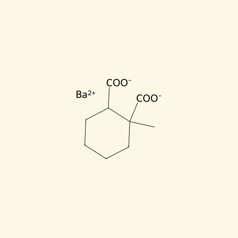 CC1(C(=O)[O-])CCCCC1C(=O)[O-].[Ba+2]